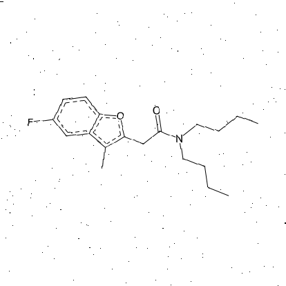 CCCCN(CCCC)C(=O)Cc1oc2ccc(F)cc2c1C